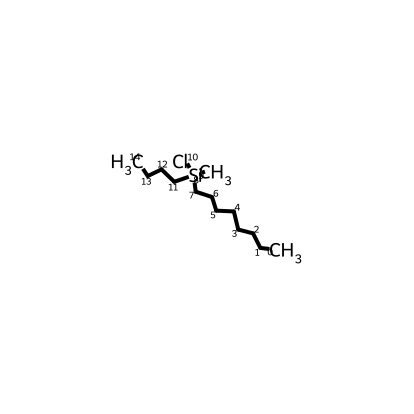 CCCCCCCC[Si](C)(Cl)CCCC